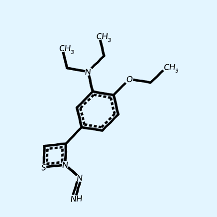 CCOc1ccc(-c2csn2N=N)cc1N(CC)CC